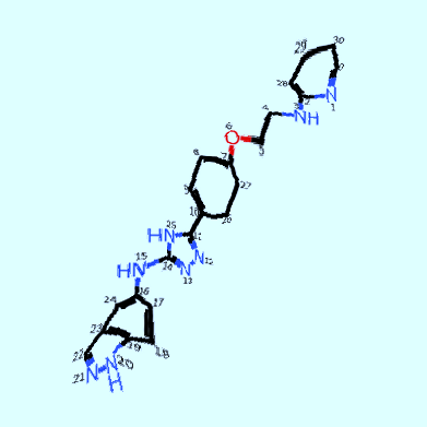 C1=NC(NCCOC2=CC=C(c3nnc(Nc4ccc5[nH]ncc5c4)[nH]3)CC2)=CCC1